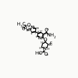 CS(=O)(=O)Cn1cc(-c2cnc(O[C@@H]3CCN(C(=O)O)C[C@@H]3F)c(C(N)=O)c2)cn1